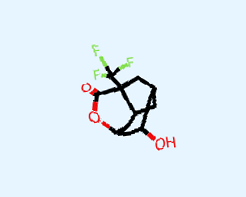 O=C1OC2C(O)C3CC2C1(C(F)(F)F)C3